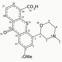 COc1cc(C2CN(C)CCO2)c2sc3c(C(=O)O)cccc3c(=O)c2c1